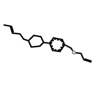 C=CCOCc1ccc(C2CCC(CCC=CC)CC2)cc1